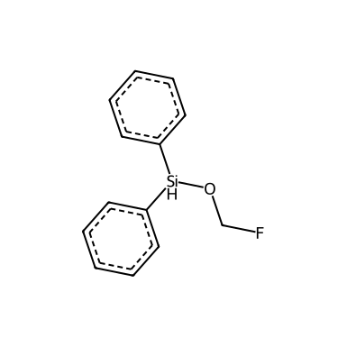 FCO[SiH](c1ccccc1)c1ccccc1